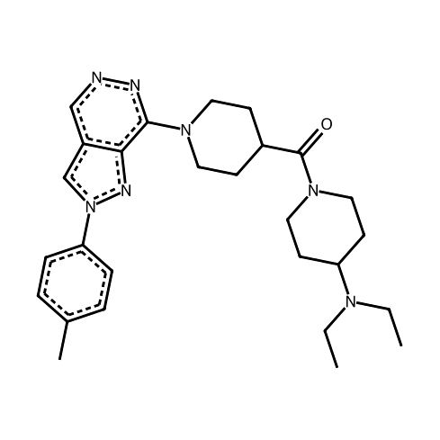 CCN(CC)C1CCN(C(=O)C2CCN(c3nncc4cn(-c5ccc(C)cc5)nc34)CC2)CC1